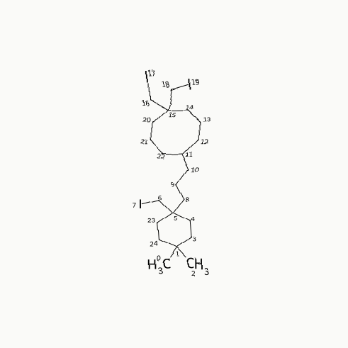 CC1(C)CCC(CI)(CCCC2CCCC(CI)(CI)CCC2)CC1